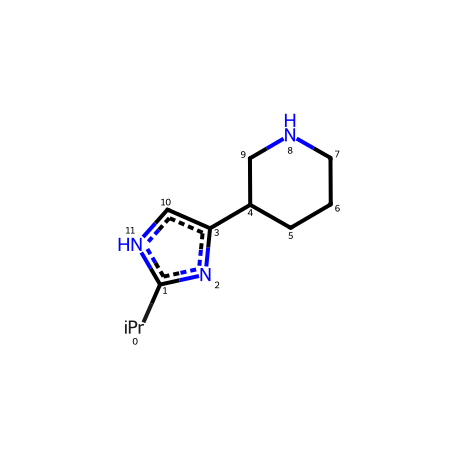 CC(C)c1nc(C2CCCNC2)c[nH]1